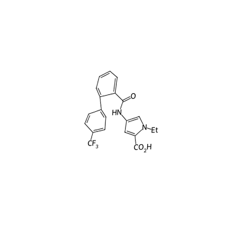 CCn1cc(NC(=O)c2ccccc2-c2ccc(C(F)(F)F)cc2)cc1C(=O)O